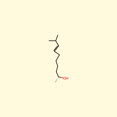 CC(C)/C=C/CCCC[C@@H](C)O